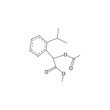 COC(=O)C(OC(C)=O)c1ccccc1C(C)C